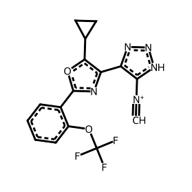 C#[N+]c1[nH]nnc1-c1nc(-c2ccccc2OC(F)(F)F)oc1C1CC1